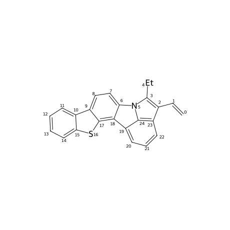 C=Cc1c(CC)n2c3ccc4c5ccccc5sc4c3c3cccc1c32